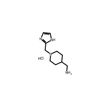 Cl.NCC1CCN(Cc2ncc[nH]2)CC1